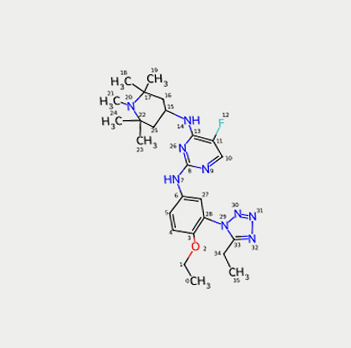 CCOc1ccc(Nc2ncc(F)c(NC3CC(C)(C)N(C)C(C)(C)C3)n2)cc1-n1nnnc1CC